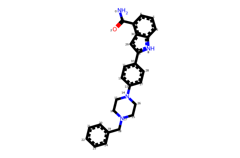 NC(=O)c1cccc2[nH]c(-c3ccc(N4CCN(Cc5ccccc5)CC4)cc3)cc12